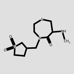 CNC1CSCCN(CC2CCS(=O)(=O)C2)C1=O